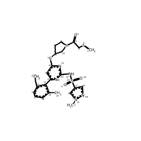 CSCC(=O)N1CCC(Oc2cc(-c3c(C)cccc3C)nc(NS(=O)(=O)c3cnn(C)c3)n2)C1